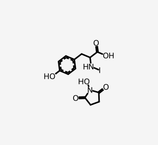 O=C(O)C(Cc1ccc(O)cc1)NI.O=C1CCC(=O)N1O